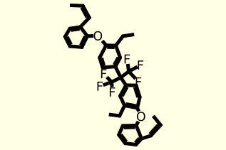 C/C=C\c1ccccc1Oc1ccc(C(c2ccc(Oc3ccccc3/C=C\C)c(CC)c2)(C(F)(F)F)C(F)(F)F)cc1CC